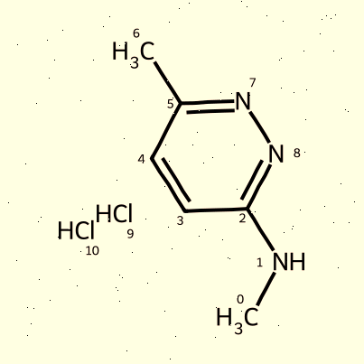 CNc1ccc(C)nn1.Cl.Cl